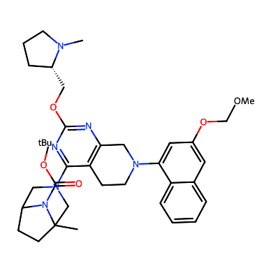 COCOc1cc(N2CCc3c(nc(OC[C@@H]4CCCN4C)nc3N3CC4CCC(C)(C3)N4C(=O)OC(C)(C)C)C2)c2ccccc2c1